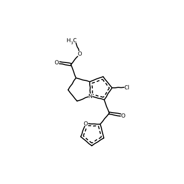 COC(=O)C1CCn2c1cc(Cl)c2C(=O)c1ccco1